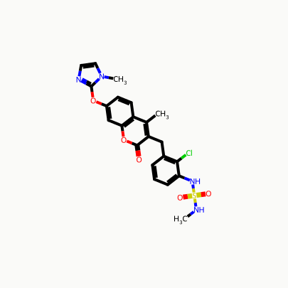 CNS(=O)(=O)Nc1cccc(Cc2c(C)c3ccc(Oc4nccn4C)cc3oc2=O)c1Cl